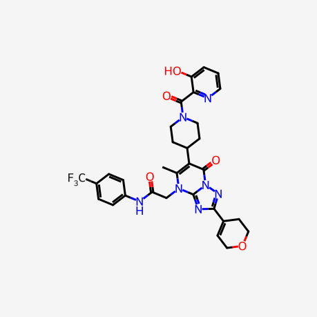 Cc1c(C2CCN(C(=O)c3ncccc3O)CC2)c(=O)n2nc(C3=CCOCC3)nc2n1CC(=O)Nc1ccc(C(F)(F)F)cc1